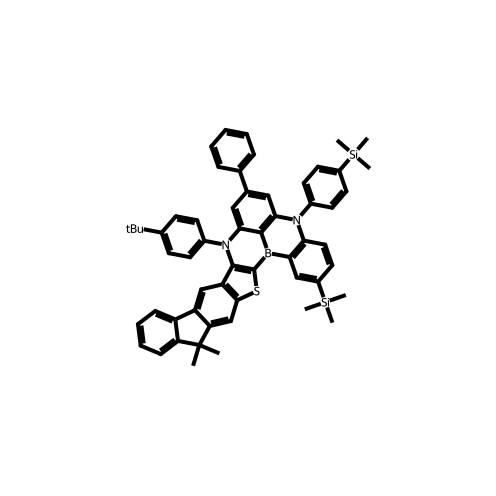 CC(C)(C)c1ccc(N2c3cc(-c4ccccc4)cc4c3B(c3cc([Si](C)(C)C)ccc3N4c3ccc([Si](C)(C)C)cc3)c3sc4cc5c(cc4c32)-c2ccccc2C5(C)C)cc1